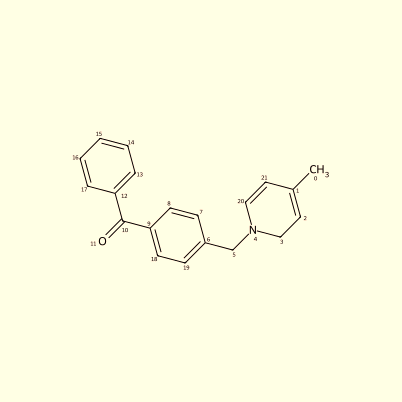 CC1=CCN(Cc2ccc(C(=O)c3ccccc3)cc2)C=C1